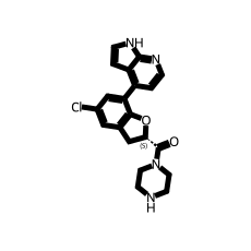 O=C([C@@H]1Cc2cc(Cl)cc(-c3ccnc4[nH]ccc34)c2O1)N1CCNCC1